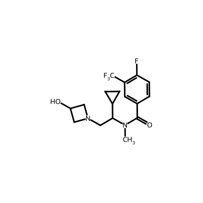 CN(C(=O)c1ccc(F)c(C(F)(F)F)c1)C(CN1CC(O)C1)C1CC1